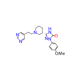 COc1ccc(-n2nc([C@H]3CCCN(CCc4cncnc4)C3)[nH]c2=O)cc1